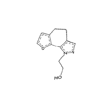 OCCn1ncc2c1-c1occc1CC2